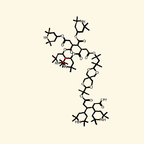 CC1(C)CC(OC(=O)CC(C(=O)OC2CC(C)(C)NC(C)(C)C2)C(C(=O)OC2CC(C)(C)NC(C)(C)C2)C(CC(=O)OC(C)(C)CC(C)(C)C2OCC3(CO2)COC(C(C)(C)OC(=O)CC(C2CC(C)(C)NC(C)(C)C2)C(CC(=O)O)C2CC(C)(C)NC(C)(C)C2)OC3)C(=O)OC2CC(C)(C)NC(C)(C)C2)CC(C)(C)N1